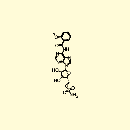 COc1ccccc1C(=O)Nc1ncnc2c1ncn2[C@@H]1O[C@H](COS(N)(=O)=O)[C@@H](O)[C@H]1O